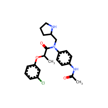 CC(=O)Nc1ccc(N(CC2CCCN2)C(=O)C(C)Oc2cccc(Cl)c2)cc1